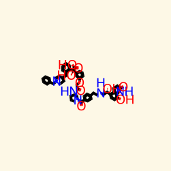 O=C(COc1cccc([C@@](O)(C(=O)O)c2ccccc2CC2CCN(Cc3ccccc3)CC2)c1)N[C@H]1CCCN(C(=O)c2ccc(CCNC[C@H](O)c3ccc(O)c4[nH]c(=O)ccc34)cc2)C1